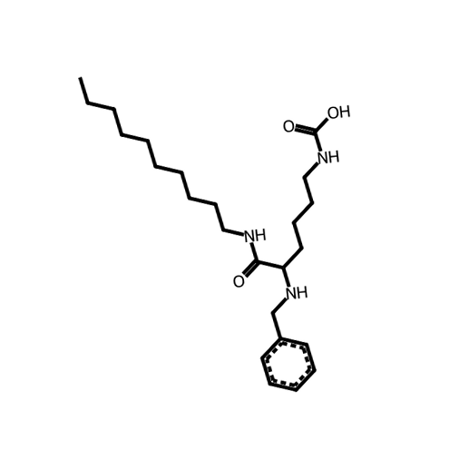 CCCCCCCCCCNC(=O)C(CCCCNC(=O)O)NCc1ccccc1